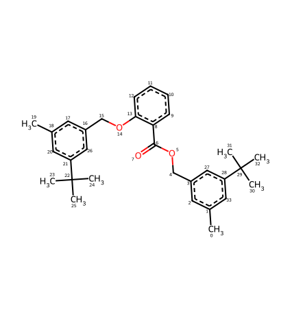 Cc1cc(COC(=O)c2ccccc2OCc2cc(C)cc(C(C)(C)C)c2)cc(C(C)(C)C)c1